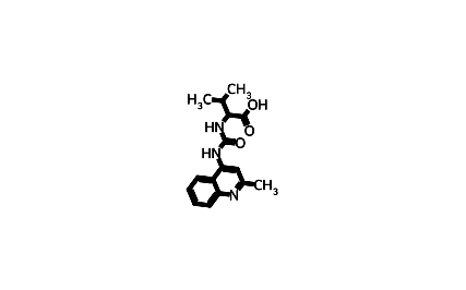 Cc1cc(NC(=O)NC(C(=O)O)C(C)C)c2ccccc2n1